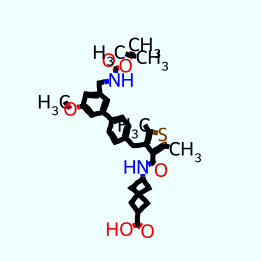 COc1cc(CNC(=O)OC(C)(C)C)cc(-c2ccc(Cc3c(C)sc(C)c3C(=O)NC3CC4(C3)CC(C(=O)O)C4)cc2)c1